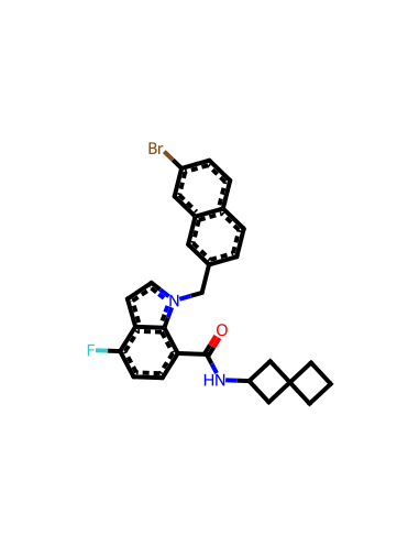 O=C(NC1CC2(CCC2)C1)c1ccc(F)c2ccn(Cc3ccc4ccc(Br)cc4c3)c12